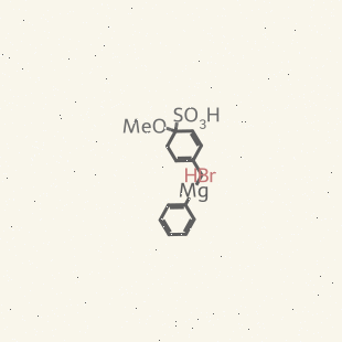 Br.COC1(S(=O)(=O)O)C=CC([CH2][Mg][c]2ccccc2)=CC1